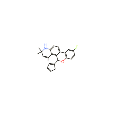 CC1=CC(C)(C)Nc2ccc3c(c21)C(C1=CC=CC1)Oc1ccc(F)cc1-3